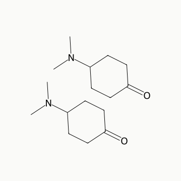 CN(C)C1CCC(=O)CC1.CN(C)C1CCC(=O)CC1